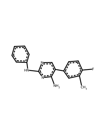 Cc1cc(-c2cnc(Nc3ccccc3)nc2N)ccc1F